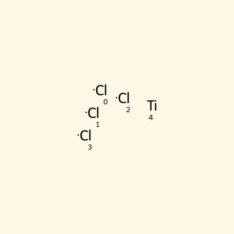 [Cl].[Cl].[Cl].[Cl].[Ti]